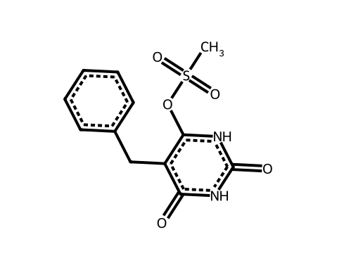 CS(=O)(=O)Oc1[nH]c(=O)[nH]c(=O)c1Cc1ccccc1